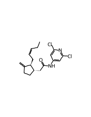 C=C1CC[C@@H](CC(=O)Nc2cc(Cl)nc(Cl)c2)[C@@H]1C/C=C\CC